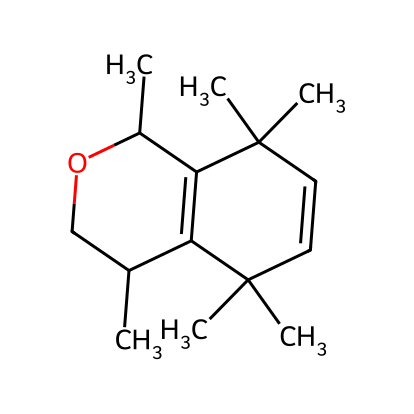 CC1COC(C)C2=C1C(C)(C)C=CC2(C)C